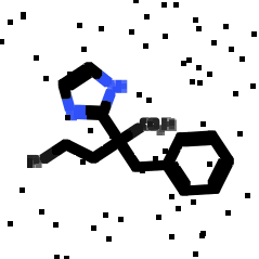 CCOC(=O)C(CCC(C)C)(Cc1ccccc1)c1ncc[nH]1